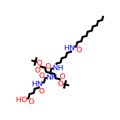 CCCCCCCCCCCC(=O)NCCCCCCNC(=O)C(CCC(=O)OC(C)(C)C)(CCC(=O)OC(C)(C)C)NC(=O)CNC(=O)CCCC(=O)O